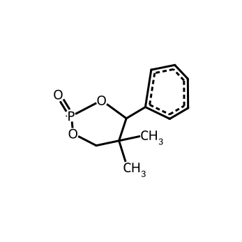 CC1(C)CO[P](=O)OC1c1ccccc1